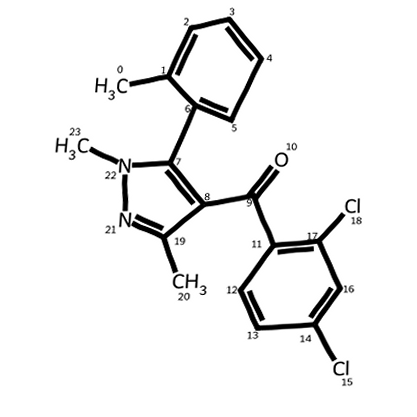 Cc1ccccc1-c1c(C(=O)c2ccc(Cl)cc2Cl)c(C)nn1C